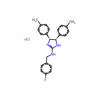 Cc1ccc([C@H]2NC(NCc3ccc(F)cc3)=N[C@H]2c2ccc(C)cc2)cc1.Cl